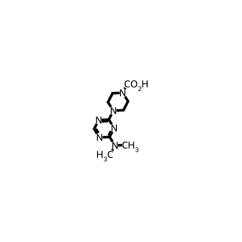 CN(C)c1ncnc(N2CCN(C(=O)O)CC2)n1